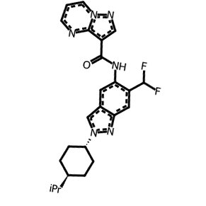 CC(C)[C@H]1CC[C@H](n2cc3cc(NC(=O)c4cnn5cccnc45)c(C(F)F)cc3n2)CC1